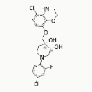 O[C@@H]1CN(c2ccc(Cl)cc2F)CC[C@@]1(O)COc1ccc(Cl)c2c1OCCN2